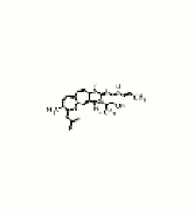 C=C(CO)N/C(=N\CN/C=C/C)NC1C=CC2=CCC(C)C(CC(F)F)N=C2C=C1P